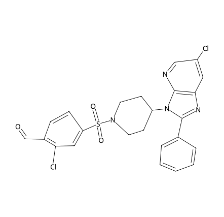 O=Cc1ccc(S(=O)(=O)N2CCC(n3c(-c4ccccc4)nc4cc(Cl)cnc43)CC2)cc1Cl